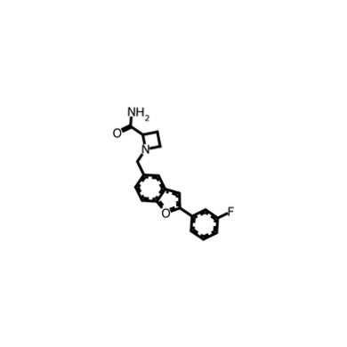 NC(=O)C1CCN1Cc1ccc2oc(-c3cccc(F)c3)cc2c1